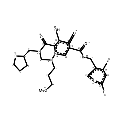 COCCCN1CN(C[C@H]2CCCO2)C(=O)c2c(O)c(=O)c(C(=O)NCc3ccc(F)cc3F)cn21